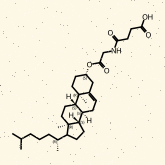 CC(C)CCC[C@@H](C)C1CC[C@H]2[C@@H]3CC=C4C[C@@H](OC(=O)CNC(=O)CCC(=O)O)CC[C@]4(C)[C@H]3CC[C@]12C